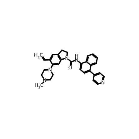 C=Cc1cc2c(cc1N1CCN(C)CC1)N(C(=O)Nc1ccc(-c3ccncc3)c3ccccc13)CC2